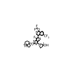 CN1CCC[C@@]2(COc3nc(N4CCC[C@@](C)(O)C4)c4cnc(-c5cnc(OC(F)F)c6ccc(C(F)(F)F)cc56)c(F)c4n3)CCC[C@@H]12